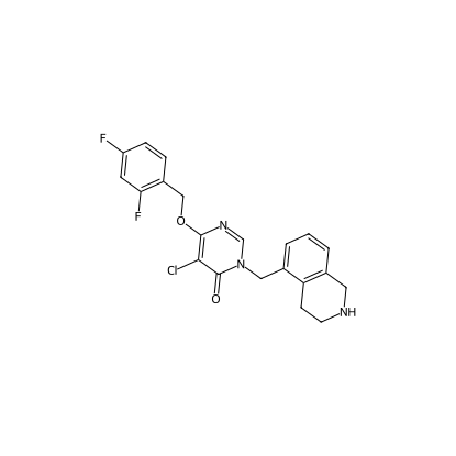 O=c1c(Cl)c(OCc2ccc(F)cc2F)ncn1Cc1cccc2c1CCNC2